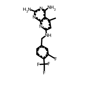 Cc1cc(NCc2ccc(C(F)(F)F)c(F)c2)nc2nc(N)nc(N)c12